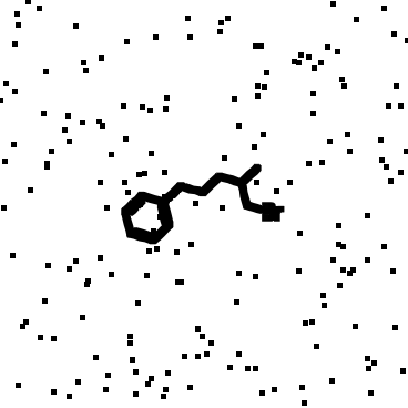 CC(CBr)CCCc1ccccc1